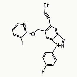 CCC#Cc1cc2cnn(-c3ccc(F)cc3)c2cc1COc1ncccc1I